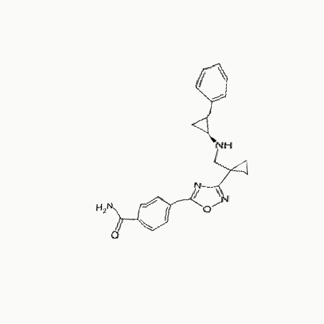 NC(=O)c1ccc(-c2nc(C3(CN[C@H]4CC4c4ccccc4)CC3)no2)cc1